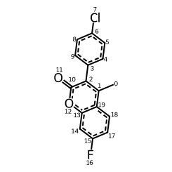 Cc1c(-c2ccc(Cl)cc2)c(=O)oc2cc(F)ccc12